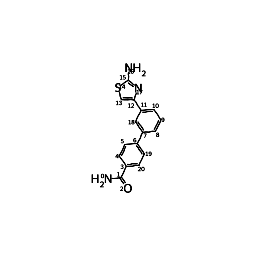 NC(=O)c1ccc(-c2cccc(-c3csc(N)n3)c2)cc1